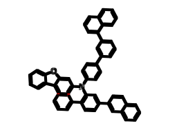 c1ccc(-c2ccc(-c3ccc4ccccc4c3)cc2N(c2ccc(-c3cccc(-c4cccc5ccccc45)c3)cc2)c2ccc3c(c2)oc2ccccc23)cc1